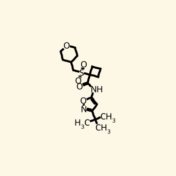 CC(C)(C)c1cc(NC(=O)C2(S(=O)(=O)CC3CCOCC3)CCC2)on1